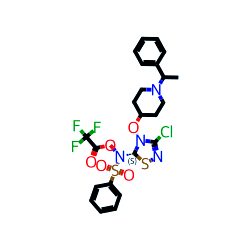 CC(c1ccccc1)N1CCC(ON2C(Cl)=NS[C@@H]2N(OC(=O)C(F)(F)F)S(=O)(=O)c2ccccc2)CC1